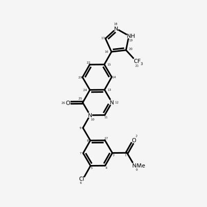 CNC(=O)c1cc(Cl)cc(Cn2cnc3cc(-c4cn[nH]c4C(F)(F)F)ccc3c2=O)c1